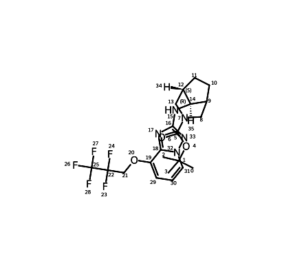 CC(C)(C)OC(=O)N1CC2CC[C@@H](C1)[C@@H]2Nc1nc2c(OCC(F)(F)C(F)(F)F)cccn2n1